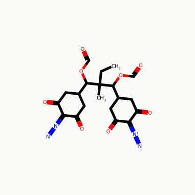 CCC(C)(C(OC=O)C1CC(=O)C(=[N+]=[N-])C(=O)C1)C(OC=O)C1CC(=O)C(=[N+]=[N-])C(=O)C1